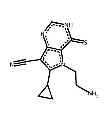 N#Cc1c(C2CC2)n(CCN)c2c(=S)[nH]cnc12